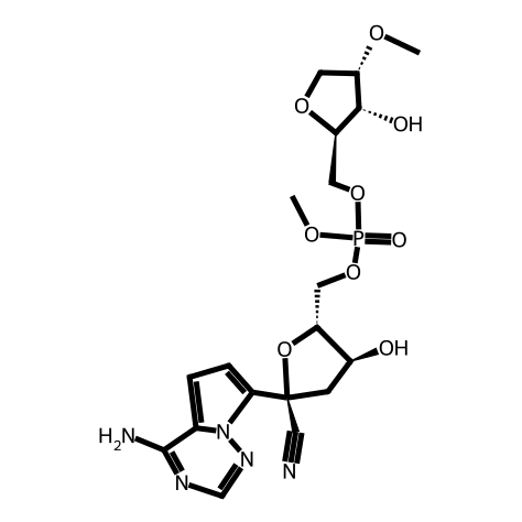 CO[C@H]1CO[C@H](COP(=O)(OC)OC[C@H]2O[C@@](C#N)(c3ccc4c(N)ncnn34)C[C@@H]2O)[C@H]1O